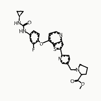 COC(=O)C1CCCN1Cc1ccc(-c2cc3nccc(Oc4ccc(NC(=O)NC5CC5)cc4F)c3s2)nc1